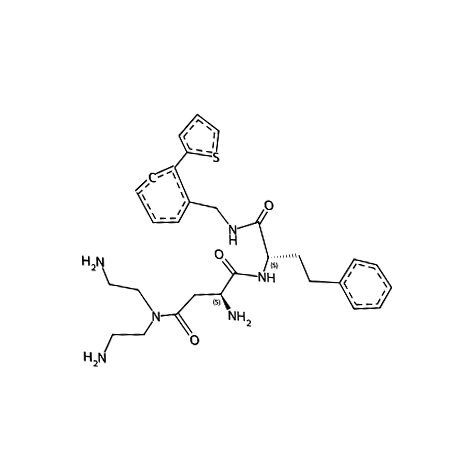 NCCN(CCN)C(=O)C[C@H](N)C(=O)N[C@@H](CCc1ccccc1)C(=O)NCc1ccccc1-c1cccs1